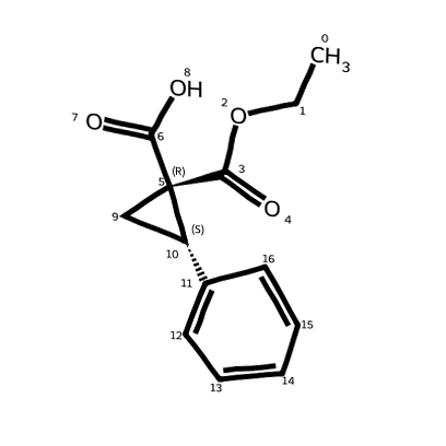 CCOC(=O)[C@]1(C(=O)O)C[C@H]1c1ccccc1